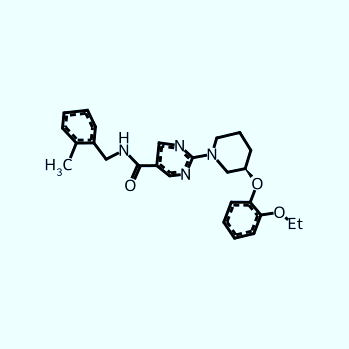 CCOc1ccccc1O[C@@H]1CCCN(c2ncc(C(=O)NCc3ccccc3C)cn2)C1